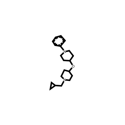 [c]1ccc(N2CCC(OC3CCN(CC4CC4)CC3)CC2)cc1